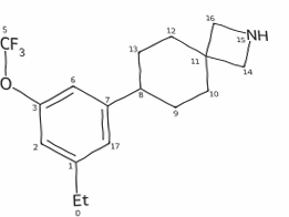 CCc1cc(OC(F)(F)F)cc(C2CCC3(CC2)CNC3)c1